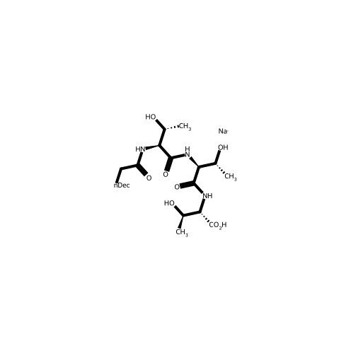 CCCCCCCCCCCC(=O)N[C@H](C(=O)N[C@H](C(=O)N[C@H](C(=O)O)[C@@H](C)O)[C@@H](C)O)[C@@H](C)O.[Na]